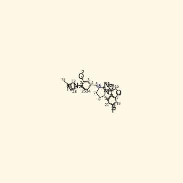 COc1cc(/C=C2\CCCN3C2=NO[C@@]32COc3cc(F)ccc32)ccc1-n1cnc(C)c1